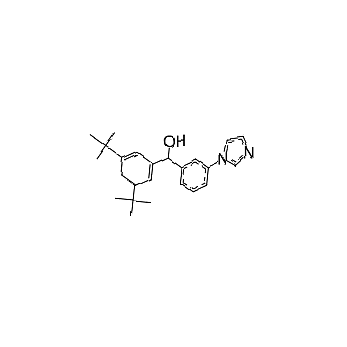 CC(C)(C)C1=CC(C(O)c2cccc(-n3ccnc3)c2)=CC(C(C)(C)C)C1